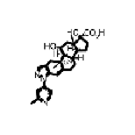 Cc1cc(-n2ncc3c2C=C2CC[C@@H]4[C@H]([C@@H](O)C[C@@]5(C)[C@H]4CC[C@]5(O)C(=O)O)[C@@]2(C)C3)ccn1